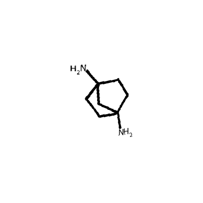 NC12CCC(N)(CC1)C2